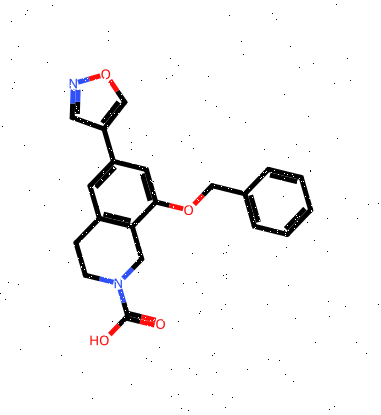 O=C(O)N1CCc2cc(-c3cnoc3)cc(OCc3ccccc3)c2C1